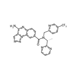 C[C@H](c1ncccn1)N(Cc1ccc(C(F)(F)F)cn1)C(=O)c1ccc2nc(N)c3cnnn3c2c1